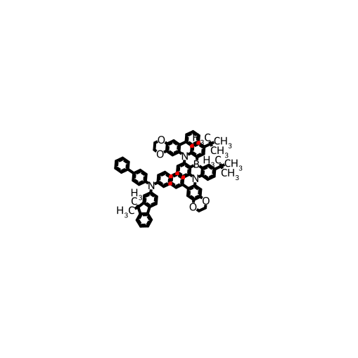 CC(C)(C)c1ccc2c(c1)B1c3cc(C(C)(C)C)ccc3N(c3cc4c(cc3-c3ccccc3)OCCO4)c3cc(-c4ccc(N(c5ccc(-c6ccccc6)cc5)c5ccc6c(c5)C(C)(C)c5ccccc5-6)cc4)cc(c31)N2c1cc2c(cc1-c1ccccc1)OCCO2